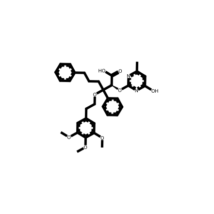 COc1cc(CCOC(CCCc2ccccc2)(c2ccccc2)[C@H](Oc2nc(C)cc(O)n2)C(=O)O)cc(OC)c1OC